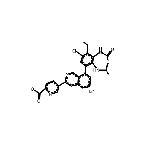 CCc1c(Cl)cc(-c2cccc3cc(-c4ccc(C(=O)[O-])nc4)ncc23)c2c1NC(=O)C[C@@H](C)N2.[Li+]